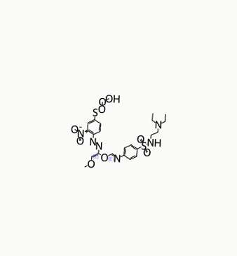 CCN(CC)CCNS(=O)(=O)c1ccc(/N=C/O/C(=C\OC)N=Nc2ccc(SOOO)cc2[N+](=O)[O-])cc1